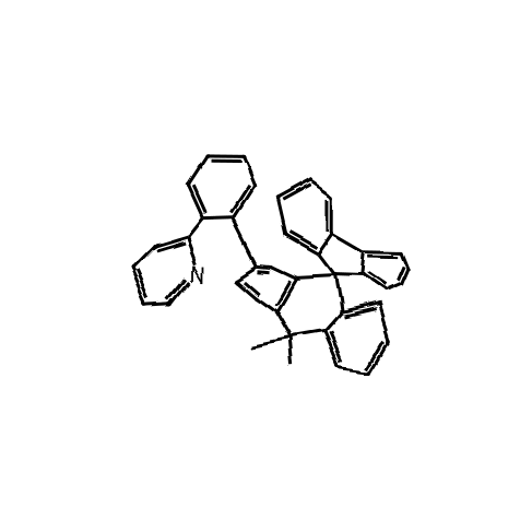 CC1(C)c2ccccc2C2(c3ccccc3-c3ccccc32)c2cc(-c3ccccc3-c3ccccn3)ccc21